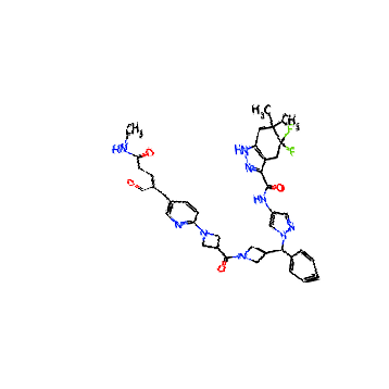 CNC(=O)CCC(C=O)c1ccc(N2CC(C(=O)N3CC(C(c4ccccc4)n4cc(NC(=O)c5n[nH]c6c5CC(F)(F)C(C)(C)C6)cn4)C3)C2)nc1